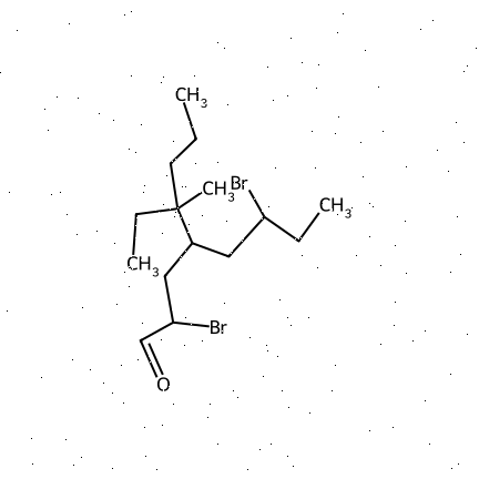 CCCC(C)(CC)C(CC(Br)C=O)CC(Br)CC